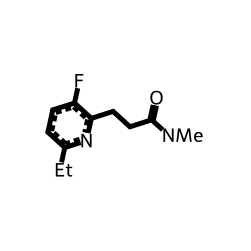 CCc1ccc(F)c(CCC(=O)NC)n1